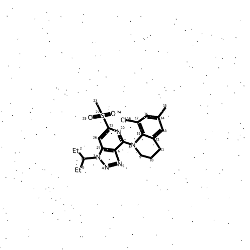 CCC(CC)n1nnc2c(N3CCCc4cc(C)cc(Cl)c43)nc(S(C)(=O)=O)cc21